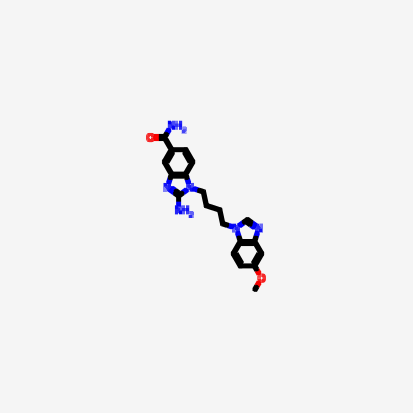 COc1ccc2c(c1)ncn2CCCCn1c(N)nc2cc(C(N)=O)ccc21